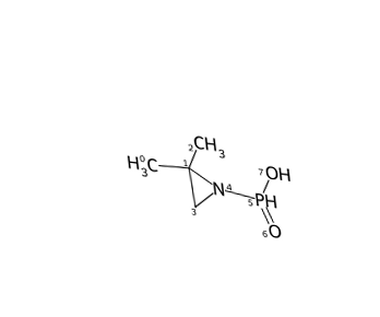 CC1(C)CN1[PH](=O)O